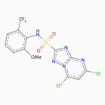 COc1cccc(C(F)(F)F)c1NS(=O)(=O)c1nc2nc(Cl)cc(Cl)n2n1